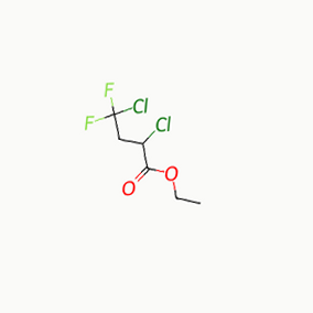 CCOC(=O)C(Cl)CC(F)(F)Cl